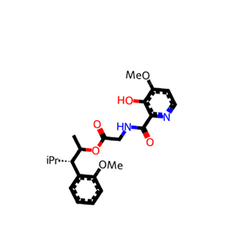 COc1ccccc1[C@H](C(C)C)C(C)OC(=O)CNC(=O)c1nccc(OC)c1O